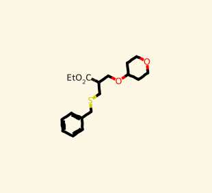 CCOC(=O)C(COC1CCOCC1)CSCc1ccccc1